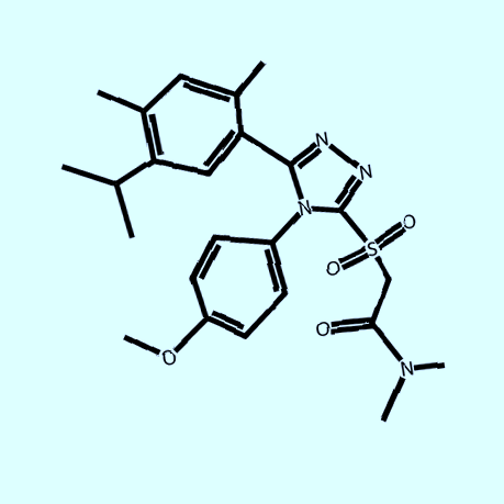 COc1ccc(-n2c(-c3cc(C(C)C)c(C)cc3C)nnc2S(=O)(=O)CC(=O)N(C)C)cc1